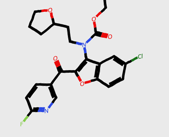 CCOC(=O)N(CCC1CCCO1)c1c(C(=O)c2ccc(F)nc2)oc2ccc(Cl)cc12